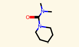 CN(C)C(=O)N1CC[C]CC1